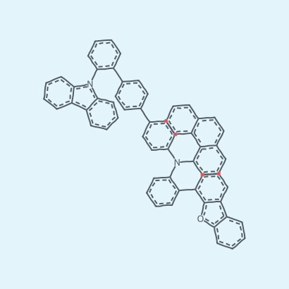 c1ccc(N(c2ccc(-c3ccc(-c4ccccc4-n4c5ccccc5c5ccccc54)cc3)cc2)c2cccc3ccc4ccccc4c23)c(-c2cccc3c2oc2ccccc23)c1